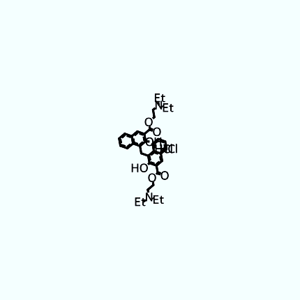 CCN(CC)CCOC(=O)c1cc2ccccc2c(Cc2c(O)c(C(=O)OCCN(CC)CC)cc3ccccc23)c1O.Cl.Cl